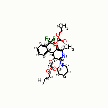 CCOC(=O)OC1=C(C)N=C(N2CCCCC2)C(OC(=O)OCC)C1c1ccccc1C(F)(F)F